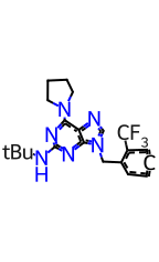 CC(C)(C)Nc1nc(N2CCCC2)c2ncn(Cc3ccccc3C(F)(F)F)c2n1